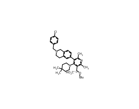 Cc1nc(C)c([C@H](OC(C)(C)C)C(=O)O)c(N2CCC(C)(C)CC2)c1-c1ccc2c(c1)CCN(Cc1ccc(Cl)cc1)C2